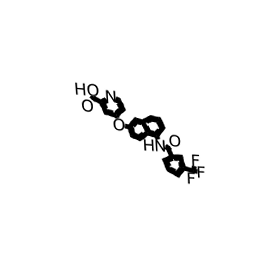 O=C(Nc1cccc2cc(Oc3ccnc(C(=O)O)c3)ccc12)c1cccc(C(F)(F)F)c1